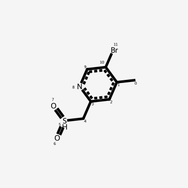 Cc1cc(C[SH](=O)=O)ncc1Br